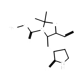 C=CC1OC(C)(C)N(C(=O)OC(C)(C)C)C1C[C@@H]1CCNC1=O